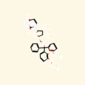 COc1cccc(C(OC[C@H]2O[C@@H](n3ccc(=O)[nH]c3=O)[C@H](O)[C@@H]2O)(c2ccccc2)c2ccccc2)c1OC